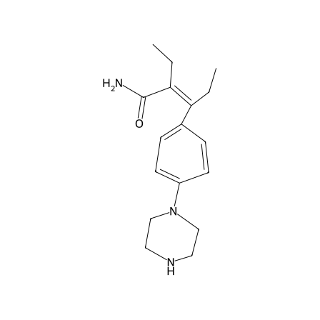 CCC(C(N)=O)=C(CC)c1ccc(N2CCNCC2)cc1